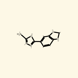 Nc1nnc(-c2ccc3c(c2)OCO3)o1